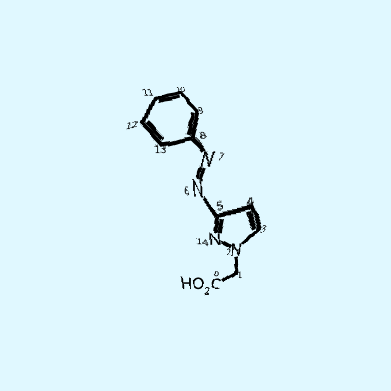 O=C(O)Cn1ccc(N=Nc2ccccc2)n1